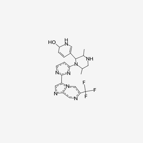 CC1NCC(C)N(c2ccnc(-c3cnc4cnc(C(F)(F)F)cn34)n2)C1C1=CNC(O)C=C1